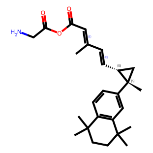 CC(/C=C/[C@@H]1C[C@]1(C)c1ccc2c(c1)C(C)(C)CCC2(C)C)=C\C(=O)OC(=O)CN